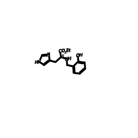 CCOC(=O)[C@H](Cc1c[nH]cn1)NCc1ccccc1O